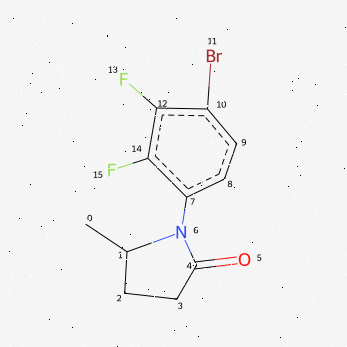 CC1CCC(=O)N1c1ccc(Br)c(F)c1F